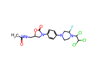 CC(=O)NCC1CN(c2ccc(N3CCN(C(Cl)C(Cl)Cl)C(F)C3)cc2)C(=O)O1